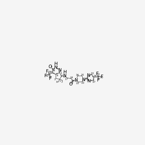 CC1(C)Cc2c(n[nH]c(=O)c2C(F)(F)F)[C@@H]1NCCC(=O)N1CCN(c2ncc(C(F)(F)F)cn2)CC1